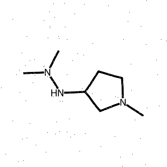 CN1CCC(NN(C)C)C1